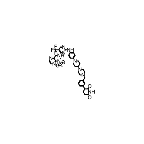 CN(c1nccnc1CNc1nc(Nc2ccc(N3CCC(N4CCN(Cc5cccc(C6CCC(=O)NC6=O)c5)CC4)CC3)cc2)ncc1C(F)(F)F)S(C)(=O)=O